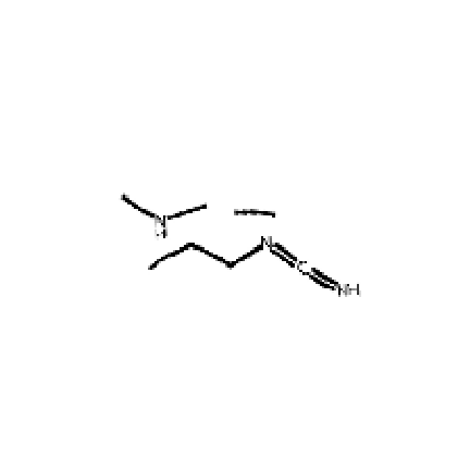 CC.CCCN=C=N.CNC